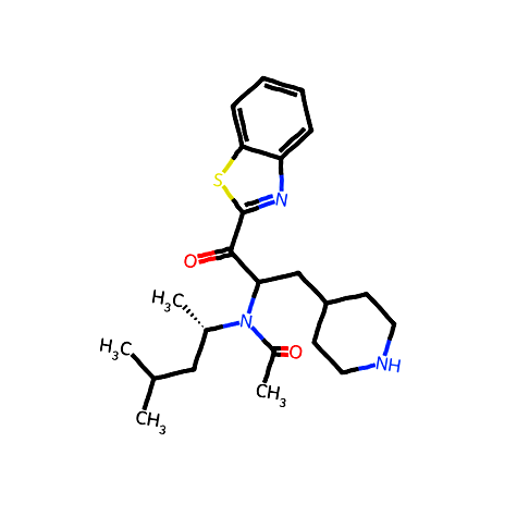 CC(=O)N(C(CC1CCNCC1)C(=O)c1nc2ccccc2s1)[C@@H](C)CC(C)C